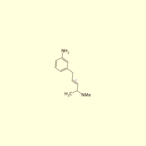 CNC(C)/C=C/Cc1cccc(N)c1